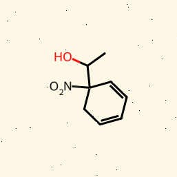 CC(O)C1([N+](=O)[O-])C=CC=CC1